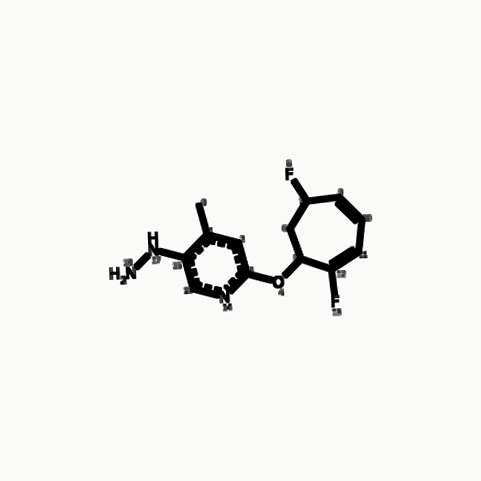 Cc1cc(OC2CC(F)C=CC=C2F)ncc1NN